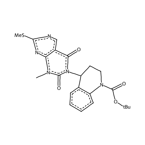 CSc1ncc2c(=O)n(C3CCN(C(=O)OC(C)(C)C)c4ccccc43)c(=O)n(C)c2n1